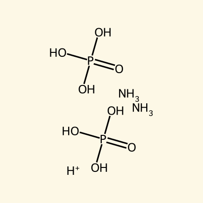 N.N.O=P(O)(O)O.O=P(O)(O)O.[H+]